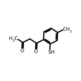 CC(=O)CC(=O)c1ccc(C)cc1S